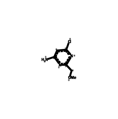 COCc1nc(N)cc(Cl)n1